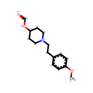 COc1ccc(CCN2CCC(OC=O)CC2)cc1